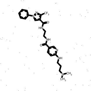 CN(C)CCCNc1ccc(C(=O)NCCNC(=O)c2cn(-c3ccccc3)nc2C(F)(F)F)cn1